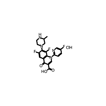 CC1CN(c2c(F)cc3c(=O)c(C(=O)O)cn(-c4ccc(F)cn4)c3c2F)CCN1.Cl